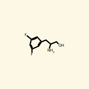 NC(CO)Cc1cc(F)cc(F)c1